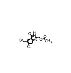 CC(=O)OCc1nc2cc(Cl)c(CBr)cc2c(=O)[nH]1